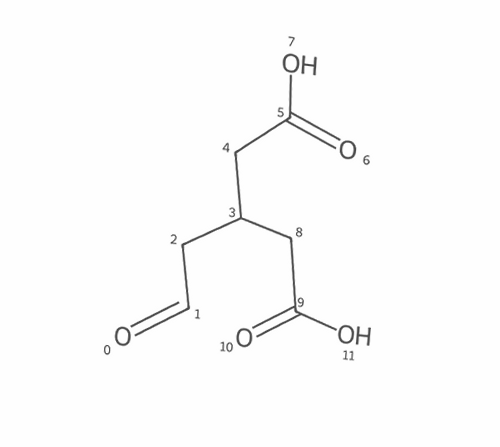 O=CCC(CC(=O)O)CC(=O)O